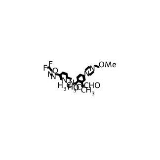 COCCN1CCN(c2ccc(C(=O)N(C)Cc3ccc(-c4nnc(C(F)F)o4)cn3)c(C(C)(C)C=O)c2)CC1